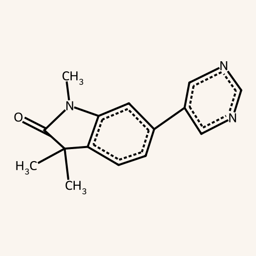 CN1C(=O)C(C)(C)c2ccc(-c3cncnc3)cc21